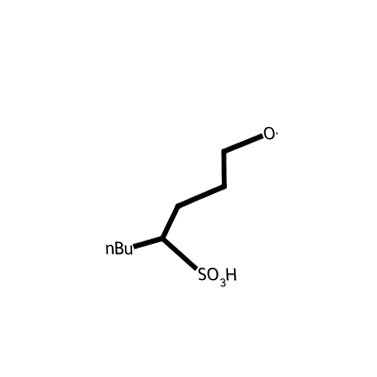 CCCCC(CCC[O])S(=O)(=O)O